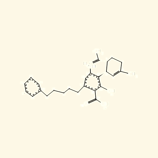 C=C(C)[C@@H]1CCC(C)=C[C@H]1c1c(O)cc(CCCCCc2ccccc2)c(C(=O)O)c1O